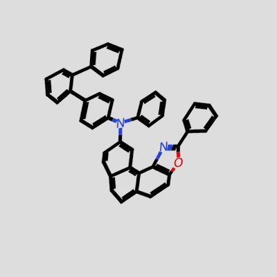 c1ccc(-c2nc3c(ccc4ccc5ccc(N(c6ccccc6)c6ccc(-c7ccccc7-c7ccccc7)cc6)cc5c43)o2)cc1